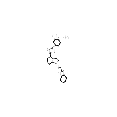 CC(C)Oc1ccc(-c2nc(C3C=CC=C4C3CC[C@@H]4NCc3nc4ccccc4[nH]3)no2)cc1C#N